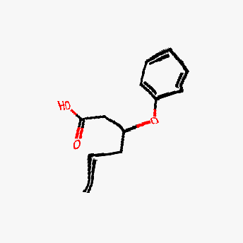 C=CCC(CC(=O)O)Oc1ccccc1